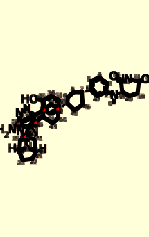 CN(c1cccc([C@H]2CC[C@@H](N3CCC(c4ccnc(N5[C@@H]6CC[C@H]5CN(c5cc(-c7ccccc7O)nnc5N)C6)n4)CC3)CC2)c1)[C@H]1CCC(=O)NC1=O